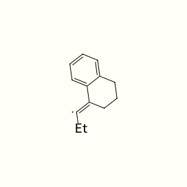 CC[C]=C1CCCc2ccccc21